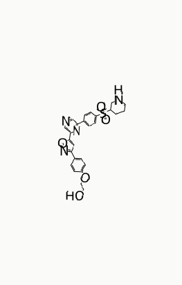 O=S(=O)(c1ccc(-c2cncc(-c3cc(-c4ccc(OCCO)cc4)no3)n2)cc1)C1CCCNC1